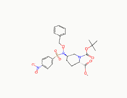 COC(=O)[C@@H]1CC[C@@H](N(OCc2ccccc2)S(=O)(=O)c2ccc([N+](=O)[O-])cc2)CN1C(=O)OC(C)(C)C